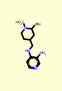 CCCCC1CC(CNc2ccncc2N)CCN1C(=O)O